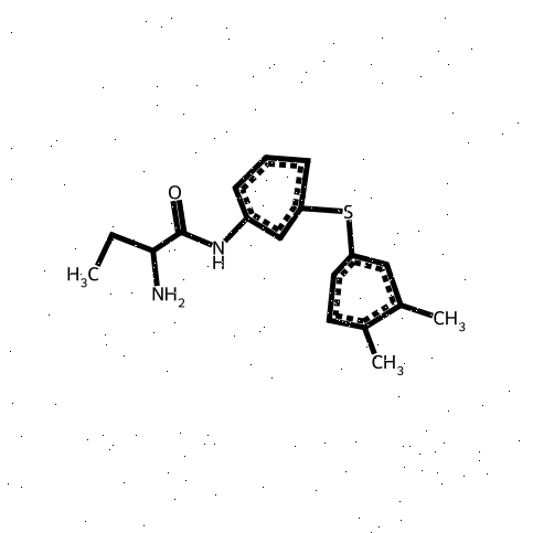 CCC(N)C(=O)Nc1cccc(Sc2ccc(C)c(C)c2)c1